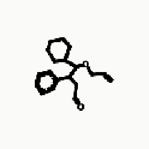 C=CCOC(C1CCCCC1)C(CC=O)c1ccccc1